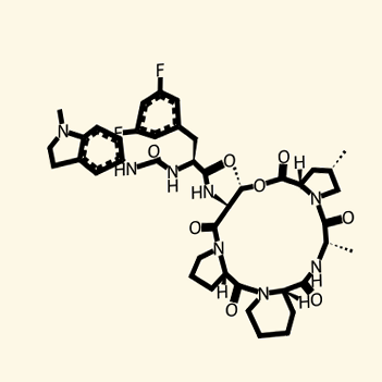 C[C@H]1C[C@H]2C(=O)O[C@@H](C)[C@H](NC(=O)[C@H](Cc3cc(F)cc(F)c3)NC(=O)Nc3ccc4c(c3)CCN4C)C(=O)N3CCC[C@H]3C(=O)N3CCCC[C@H]3C(=O)N[C@@H](C)C(=O)N2C1